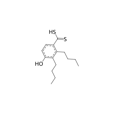 CCCCc1c(O)ccc(C(=S)S)c1CCCC